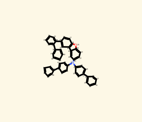 c1ccc(-c2ccc(N(c3ccc(-c4ccccc4)cc3)c3ccc4oc5ccc(-c6ccccc6-c6ccccc6)cc5c4c3)cc2)cc1